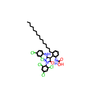 CCCCCCCCCCCCCCCc1cccc(NC(=O)O)c1C1C(=O)N(c2c(Cl)cc(Cl)cc2Cl)N=C1Nc1ccc(Cl)cc1Cl